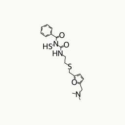 CN(C)Cc1ccc(CSCCNC(=O)N(S)C(=O)c2ccccc2)o1